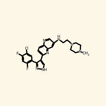 CN1CCN(CCNc2cnc3ccc(-c4c[nH]nc4-c4cc(Cl)c(F)cc4F)nc3c2)CC1